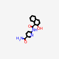 NC(=O)c1ccc(NC(=O)c2c(O)ccc3ccccc23)nc1